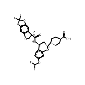 C[C@]1(C(=O)N[C@H]2C[C@@H]([C@H]3CC[C@H](C(=O)O)CC3)Oc3cc(OC(F)F)ccc32)COc2cc3c(cc21)OC(F)(F)O3